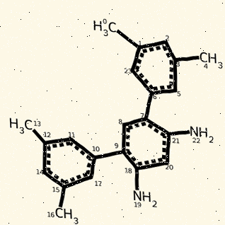 Cc1cc(C)cc(-c2cc(-c3cc(C)cc(C)c3)c(N)cc2N)c1